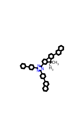 CC1(C)c2cc(-c3ccc4ccccc4c3)ccc2-c2ccc(-c3nc(-c4ccc(-c5ccccc5)cc4)nc(-c4ccc(-c5ccc6ccccc6c5)cc4)n3)cc21